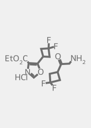 CCOC(=O)c1ncoc1C1CC(F)(F)C1.Cl.NCC(=O)C1CC(F)(F)C1